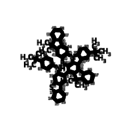 CC(C)(C)c1ccc(Nc2cc3sc4ccccc4c3cc2-c2c3c(c4c5cc(C(C)(C)C)ccc5n5c4c2Bc2cc4c(cc2-5)-c2ccccc2C4(C)C)-c2ccccc2C3(C)C)cc1